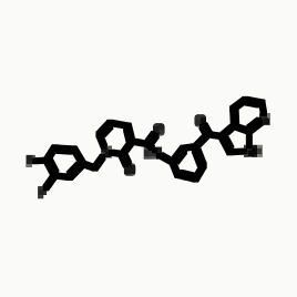 O=C(Nc1cccc(C(=O)c2c[nH]c3ncccc23)c1)c1cccn(Cc2ccc(F)c(F)c2)c1=O